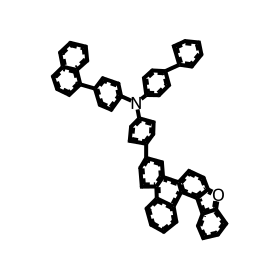 c1ccc(-c2ccc(N(c3ccc(-c4ccc5c6ccccc6c6c(ccc7oc8ccccc8c76)c5c4)cc3)c3ccc(-c4cccc5ccccc45)cc3)cc2)cc1